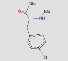 CC(C)(C)NC(Cc1ccc(Cl)cc1)C(=O)C(C)(C)C